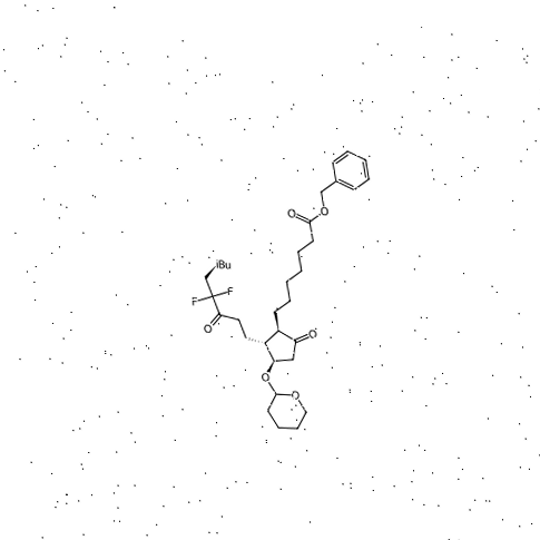 CC[C@H](C)CC(F)(F)C(=O)CC[C@H]1[C@H](OC2CCCCO2)CC(=O)[C@@H]1CCCCCCC(=O)OCc1ccccc1